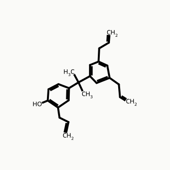 C=CCc1cc(CC=C)cc(C(C)(C)c2ccc(O)c(CC=C)c2)c1